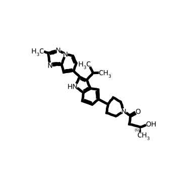 Cc1nc2cc(-c3[nH]c4ccc(C5CCN(C(=O)C[C@H](C)O)CC5)cc4c3C(C)C)ccn2n1